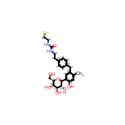 Cc1cc(O)c(C2O[C@H](CO)[C@@H](O)[C@H](O)[C@H]2O)cc1Cc1ccc(CCNC(=O)NCCS)cc1